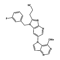 COc1ncnc2ccn(-c3cnc4nc(CCC#N)n(Cc5cccc(F)c5)c4c3)c12